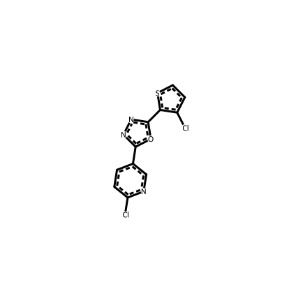 Clc1ccc(-c2nnc(-c3sccc3Cl)o2)cn1